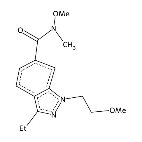 CCc1nn(CCOC)c2cc(C(=O)N(C)OC)ccc12